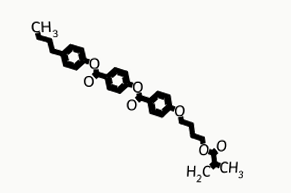 C=C(C)C(=O)OCCCCOc1ccc(C(=O)Oc2ccc(C(=O)Oc3ccc(CCCC)cc3)cc2)cc1